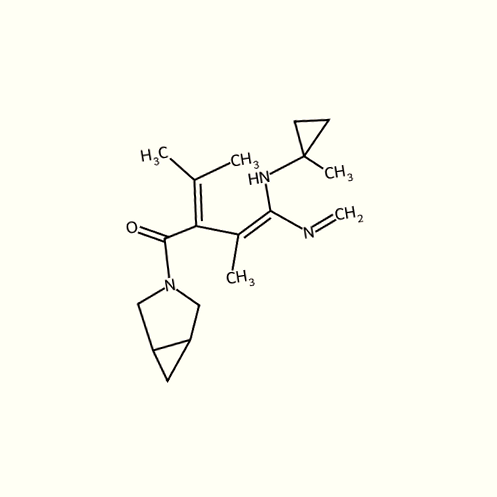 C=N/C(NC1(C)CC1)=C(\C)C(C(=O)N1CC2CC2C1)=C(C)C